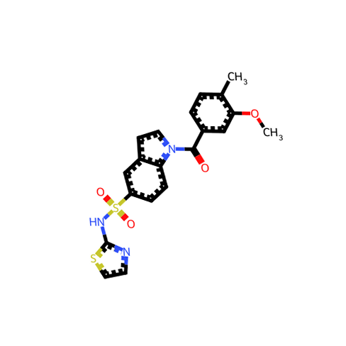 COc1cc(C(=O)n2ccc3cc(S(=O)(=O)Nc4nccs4)ccc32)ccc1C